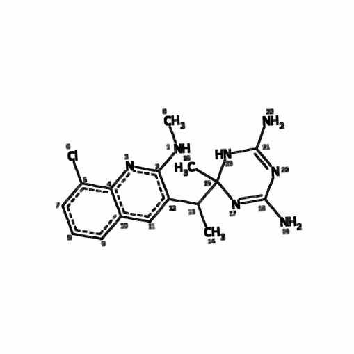 CNc1nc2c(Cl)cccc2cc1C(C)C1(C)N=C(N)N=C(N)N1